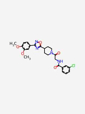 COc1ccc(-c2noc(C3CCN(C(=O)CNC(=O)c4cccc(Cl)c4)CC3)n2)cc1OC